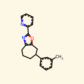 Cc1cccc(C2CCCc3nc(-c4ccccn4)oc3C2)c1